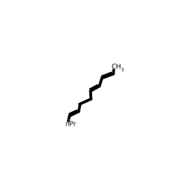 C/C=C/C=C/C[CH]/C=C/CCC